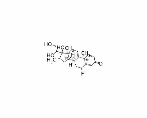 CC1C[C@H]2[C@@H]3CC(F)C4=CC(=O)C=C[C@]4(C)C3=CC[C@]2(C)[C@@]1(O)C(O)CO